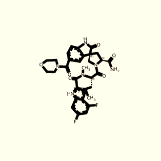 CC(C)C[C@@H](C(=O)N1C[C@]2(C[C@H]1C(N)=O)C(=O)Nc1ccc(C(=O)N3CCOCC3)cc12)N(C)C(=O)c1cc2c(F)cc(F)cc2[nH]1